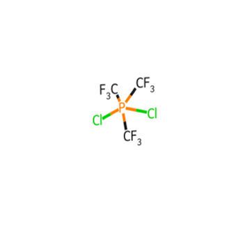 FC(F)(F)P(Cl)(Cl)(C(F)(F)F)C(F)(F)F